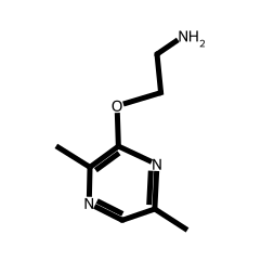 Cc1cnc(C)c(OCCN)n1